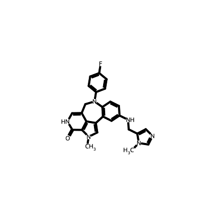 Cn1cncc1CNc1ccc2c(c1)-c1cn(C)c3c(=O)[nH]cc(c13)CN2c1ccc(F)cc1